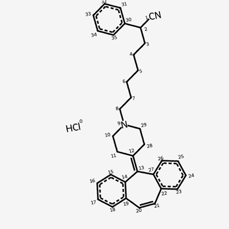 Cl.N#CC(CCCCCCN1CCC(=C2c3ccccc3C=Cc3ccccc32)CC1)c1ccccc1